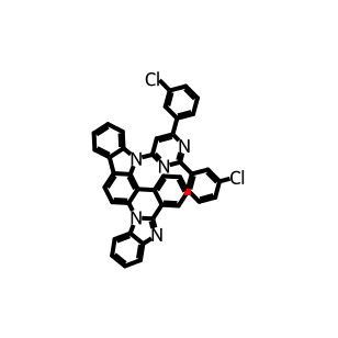 Clc1cccc(-c2cc(-n3c4ccccc4c4ccc5c(c6ccccc6c6nc7ccccc7n56)c43)nc(-c3cccc(Cl)c3)n2)c1